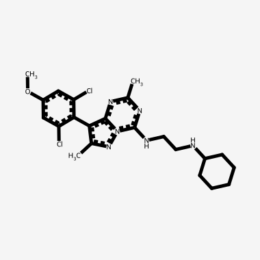 COc1cc(Cl)c(-c2c(C)nn3c(NCCNC4CCCCC4)nc(C)nc23)c(Cl)c1